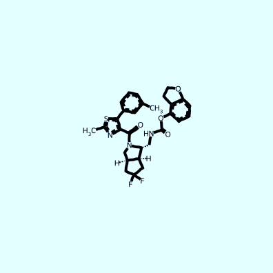 Cc1cccc(-c2sc(C)nc2C(=O)N2C[C@@H]3CC(F)(F)C[C@@H]3[C@H]2CNC(=O)Oc2cccc3c2CCO3)c1